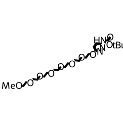 COCCOCCOCCOCCOCCOCCOCCOc1ccc(NC(=O)OC(C)(C)C)nn1